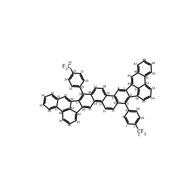 FC(F)(F)c1ccc(-c2c3c(cc4c2ccc2c5cc6c(c(-c7ccc(C(F)(F)F)cc7)c5ccc42)-c2cc4ccccc4c4cccc-6c24)-c2cc4ccccc4c4cccc-3c24)cc1